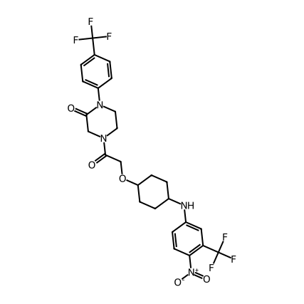 O=C(COC1CCC(Nc2ccc([N+](=O)[O-])c(C(F)(F)F)c2)CC1)N1CCN(c2ccc(C(F)(F)F)cc2)C(=O)C1